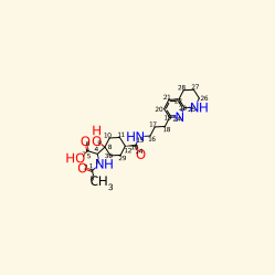 CC(=O)NC(C(=O)O)[C@]1(O)CC[C@@H](C(=O)NCCCc2ccc3c(n2)NCCC3)CC1